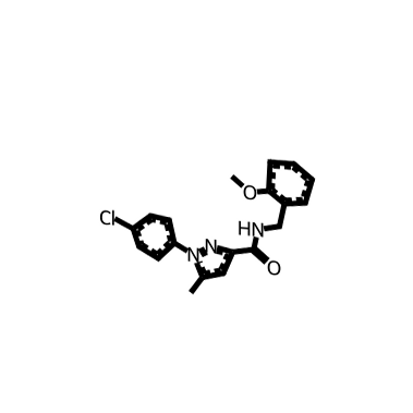 COc1ccccc1CNC(=O)c1cc(C)n(-c2ccc(Cl)cc2)n1